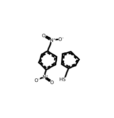 O=[N+]([O-])c1ccc([N+](=O)[O-])cc1.Sc1ccccc1